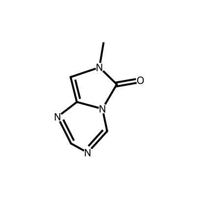 Cn1cc2ncncn2c1=O